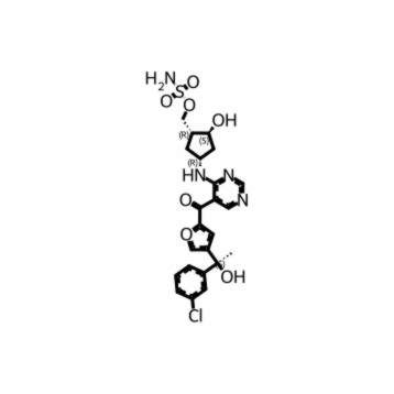 C[C@](O)(c1cccc(Cl)c1)c1coc(C(=O)c2cncnc2N[C@@H]2C[C@H](COS(N)(=O)=O)[C@@H](O)C2)c1